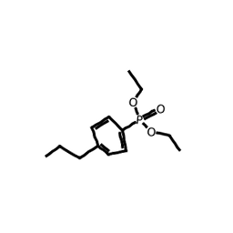 CCCc1ccc(P(=O)(OCC)OCC)cc1